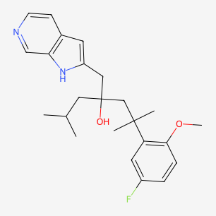 COc1ccc(F)cc1C(C)(C)CC(O)(Cc1cc2ccncc2[nH]1)CC(C)C